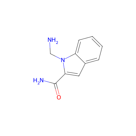 NCn1c(C(N)=O)cc2ccccc21